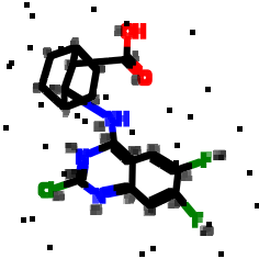 O=C(O)C1C2CCC(CC2)C1Nc1nc(Cl)nc2cc(F)c(F)cc12